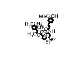 CC[S+]([O-])CCC(NC(=O)/C=C/c1ccc(O)c(OC)c1)C(=O)N1CCCC1C(=O)OC(C)CC1CCC(C)(C)C1(C)C